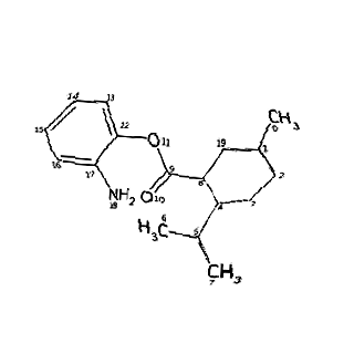 CC1CCC(C(C)C)C(C(=O)Oc2ccccc2N)C1